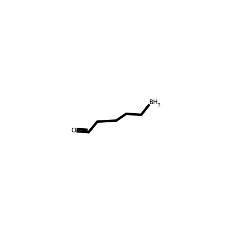 BCCCCC=O